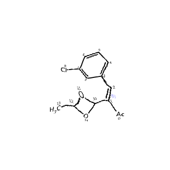 CC(=O)/C(=C/c1cccc(Cl)c1)C1OC(C)O1